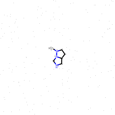 CN1CCC2CNCN21